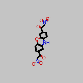 O=C(C[N+](=O)[O-])c1ccc2c(c1)Nc1ccc(C(=O)C[N+](=O)[O-])cc1O2